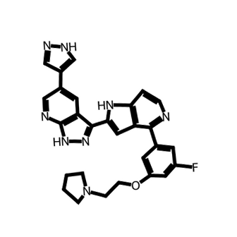 Fc1cc(OCCN2CCCC2)cc(-c2nccc3[nH]c(-c4n[nH]c5ncc(-c6cn[nH]c6)cc45)cc23)c1